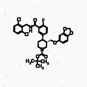 CC(C)(C)OC(=O)N1CC[C@@H](c2ccc(F)c(C(=O)NCc3c(Cl)cccc3Cl)c2)[C@H](COc2ccc3c(c2)OCO3)C1